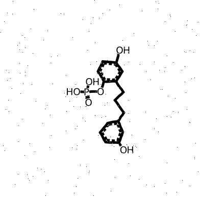 O=P(O)(O)Oc1ccc(O)cc1CCCc1cccc(O)c1